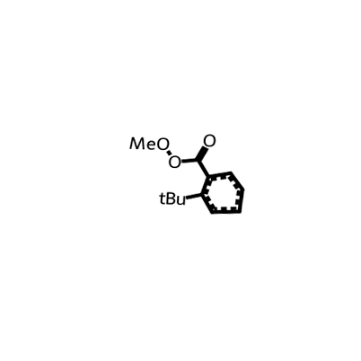 COOC(=O)c1ccccc1C(C)(C)C